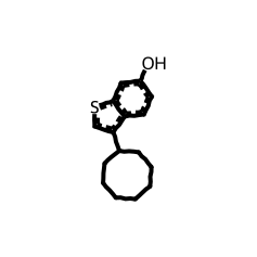 Oc1ccc2c(C3CCCCCCC3)csc2c1